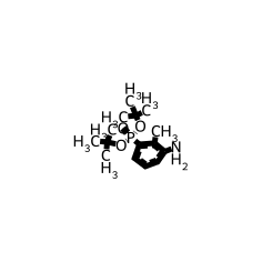 Cc1c(N)cccc1P(=O)(OC(C)(C)C)OC(C)(C)C